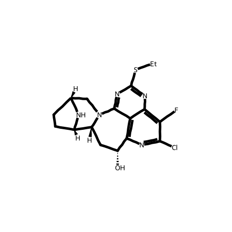 CCSc1nc2c3c(nc(Cl)c(F)c3n1)[C@H](O)C[C@@H]1[C@@H]3CC[C@H](CN21)N3